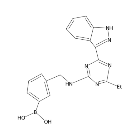 CCc1nc(NCc2cccc(B(O)O)c2)nc(-c2n[nH]c3ccccc23)n1